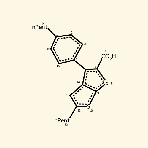 CCCCCc1ccc(-c2c(C(=O)O)sc3sc(CCCCC)cc23)cc1